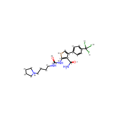 NC(=O)c1c(-c2ccc(C(F)(F)F)cc2)csc1NC(=O)NCCCCN1CCCC1